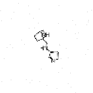 c1cncc(NCC23CCC(CC2)N3)c1